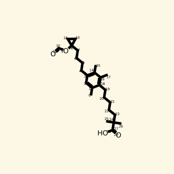 Cc1cc(CCCCC2(OC=O)CC2)c(C)c(C)c1CCCCCC(C)(C)C(=O)O